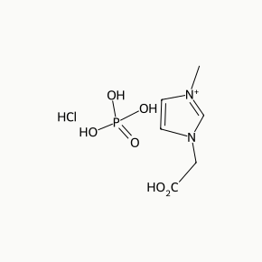 C[n+]1ccn(CC(=O)O)c1.Cl.O=P(O)(O)O